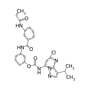 C=CC(=O)Nc1cccc(C(=O)Nc2cccc(OC(=O)Nc3cc(Cl)nc4c(C(C)C)cnn34)c2)c1